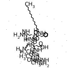 CCCCCCCCCCCCCCCC(=O)N[C@@H](Cc1ccccc1)C(=O)N[C@@H](CCCNC(=N)N)C(=O)N[C@@H](CCCCN)C(=O)N[C@@H](CCC(=O)O)C(=O)N[C@@H](CCCNC(=N)N)C(=O)N[C@H](C(=O)NC)[C@@H](C)CC